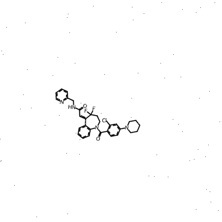 O=C(/C=C1/c2ccccc2N(C(=O)c2ccc(N3CCCCC3)cc2Cl)CCC1(F)F)NCc1ccccn1